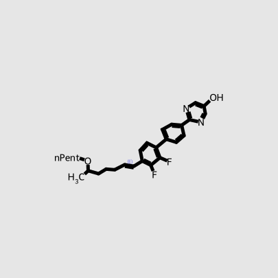 CCCCCOC(C)CCC/C=C/c1ccc(-c2ccc(-c3ncc(O)cn3)cc2)c(F)c1F